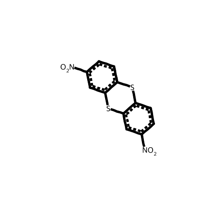 O=[N+]([O-])c1ccc2c(c1)Sc1cc([N+](=O)[O-])ccc1S2